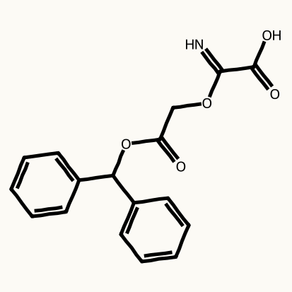 N=C(OCC(=O)OC(c1ccccc1)c1ccccc1)C(=O)O